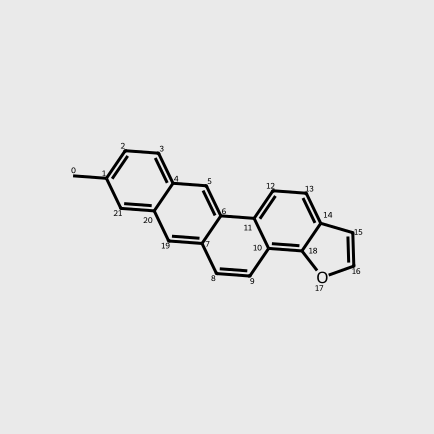 Cc1ccc2cc3c(ccc4c3ccc3ccoc34)cc2c1